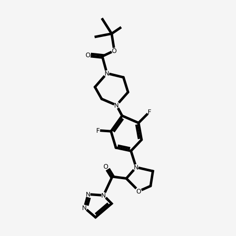 CC(C)(C)OC(=O)N1CCN(c2c(F)cc(N3CCOC3C(=O)n3ccnn3)cc2F)CC1